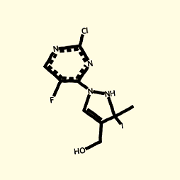 CC1(I)NN(c2nc(Cl)ncc2F)C=C1CO